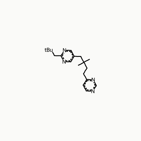 CC(C)(C)Cc1ncc(CC(C)(C)CCc2ccncn2)cn1